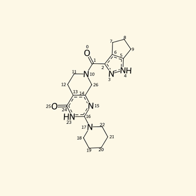 O=C(c1n[nH]c2c1CCC2)N1CCc2c(nc(N3CCCCC3)[nH]c2=O)C1